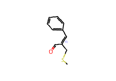 CSC/C(C=O)=C/c1ccccc1